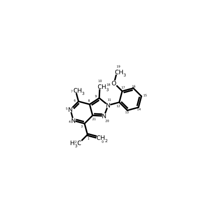 C=C(C)c1nnc(C)c2c(C)n(-c3ccccc3OC)nc12